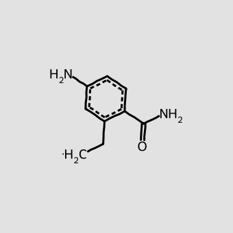 [CH2]Cc1cc(N)ccc1C(N)=O